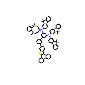 C=C1/C=C\C(N(c2cc(-c3cccc(-c4ccc5c(c4)sc4c6ccccc6c6ccccc6c54)c3)cc(N(c3ccc4c(c3)C(C)(C)c3ccccc3-4)c3ccc4c(c3)C(C)(C)c3ccccc3-4)c2)c2ccc3c(c2)C(C)(C)c2ccccc2-3)=C/CC(C)(C)c2ccccc21